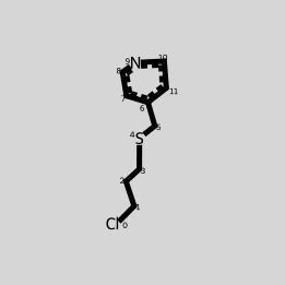 ClCCCSCc1ccncc1